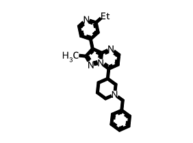 CCc1cc(-c2c(C)nn3c(C4CCCN(Cc5ccccc5)C4)ccnc23)ccn1